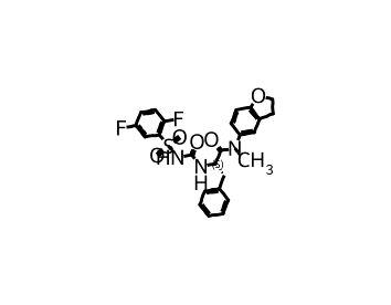 CN(C(=O)[C@H](Cc1ccccc1)NC(=O)NS(=O)(=O)c1cc(F)ccc1F)c1ccc2c(c1)CCO2